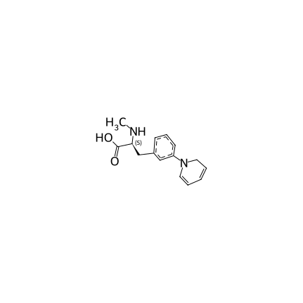 CN[C@@H](Cc1cccc(N2C=CC=CC2)c1)C(=O)O